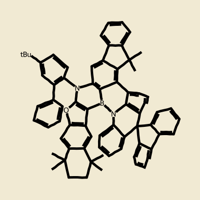 CC(C)(C)c1ccc(N2c3cc4c(c5c3B(c3c2oc2cc6c(cc32)C(C)(C)CCC6(C)C)N2c3ccccc3C3(c6ccccc6-c6ccccc63)c3cccc-5c32)C(C)(C)c2ccccc2-4)c(-c2ccccc2)c1